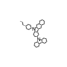 C/C=C/c1ccc(-n2c3ccc(-n4c5ccccc5c5ccccc54)cc3c3cc4ccccc4cc32)cc1